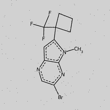 Cn1c(C2(C(F)(F)F)CCC2)cc2ncc(Br)nc21